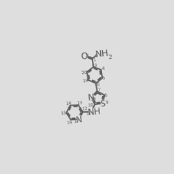 NC(=O)c1ccc(-c2csc(Nc3ccccn3)n2)cc1